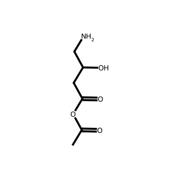 CC(=O)OC(=O)CC(O)CN